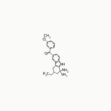 CCC1Cc2c([nH]c3ccc(C(=O)c4cccc(OC)c4)cc23)C(N)(N)C1